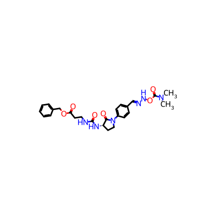 CN(C)C(=O)ONN=Cc1ccc(N2CC[C@H](NC(=O)NCCC(=O)OCc3ccccc3)C2=O)cc1